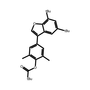 Cc1cc(-c2coc3c(C(C)(C)C)cc(C(C)(C)C)cc23)cc(C)c1OC(=O)C(C)(C)C